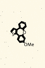 COc1ccc2c(c1)Oc1ccccc1-c1ccsc1-2